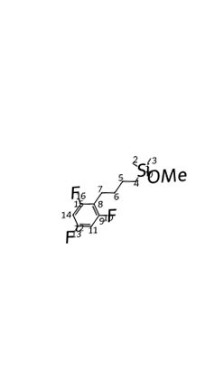 CO[Si](C)(C)CCCCc1c(F)cc(F)cc1F